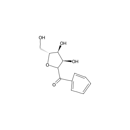 O=C(c1ccccc1)C1O[C@H](CO)[C@@H](O)[C@H]1O